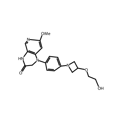 COc1cc2c(cn1)NC(=O)CN2c1ccc(N2CC(OCCO)C2)cc1